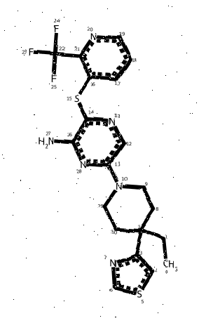 CCC1(c2cscn2)CCN(c2cnc(Sc3cccnc3C(F)(F)F)c(N)n2)CC1